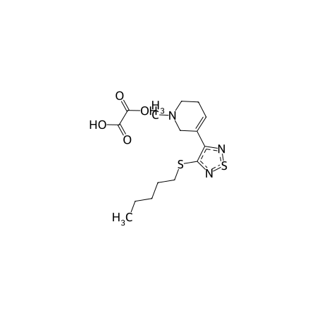 CCCCCSc1nsnc1C1=CCCN(C)C1.O=C(O)C(=O)O